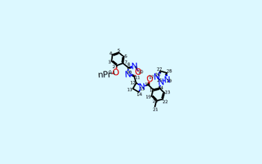 CCCOc1ccccc1-c1noc(C2CCN2C(=O)c2cc(C)ccc2-n2nccn2)n1